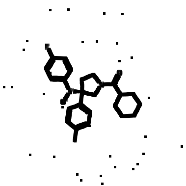 Cc1ccc([C@]2([S+]([O-])c3ccc(F)cc3)CCN(C(=O)C3CCCCC3)C2)cc1